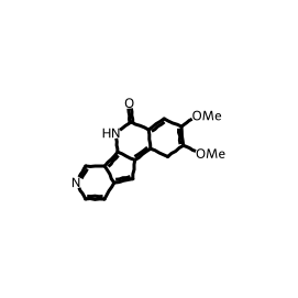 COC1=C(OC)Cc2c3c([nH]c(=O)c2=C1)=c1cnccc1=C3